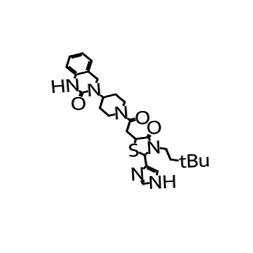 CC(C)(C)CCN1C(=O)C(CC(=O)N2CCC(N3Cc4ccccc4NC3=O)CC2)SC1c1c[nH]cn1